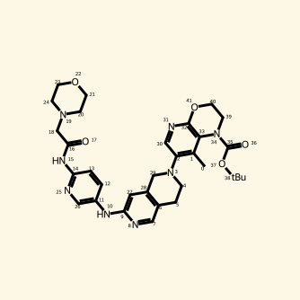 Cc1c(N2CCc3cnc(Nc4ccc(NC(=O)CN5CCOCC5)nc4)cc3C2)cnc2c1N(C(=O)OC(C)(C)C)CCO2